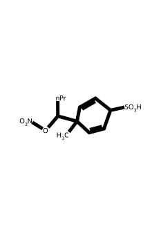 CCCC(O[N+](=O)[O-])C1(C)C=CC(S(=O)(=O)O)C=C1